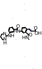 CNC(=O)c1cc(NC(=O)c2cccc(NC3=NCCCN3)c2)ccc1/C=C/C(=O)O